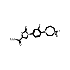 CNC(=O)C1CN(c2ccc(N3CCCS(=O)(=O)CC3)c(F)c2)C(=O)O1